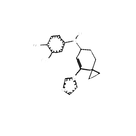 CCN(c1ccc(C#N)c(C(F)(F)F)c1)C1C=C(n2ccnc2)C2(CC1)CC2